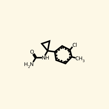 Cc1ccc(C2(NC(N)=O)CC2)cc1Cl